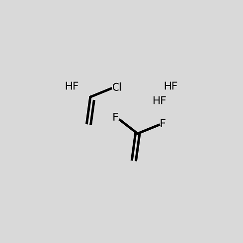 C=C(F)F.C=CCl.F.F.F